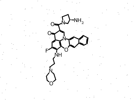 N[C@@H]1CCN(C(=O)c2cn3c4c(c(NCCCN5CCOCC5)c(F)cc4c2=O)Oc2cc4ccccc4cc2-3)C1